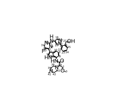 COC[C@H](C(=O)Nc1cccc2c(-c3nc(Nc4cnn(-c5ccccc5CO)c4)ncc3F)c[nH]c12)N1CCN(C)CC1